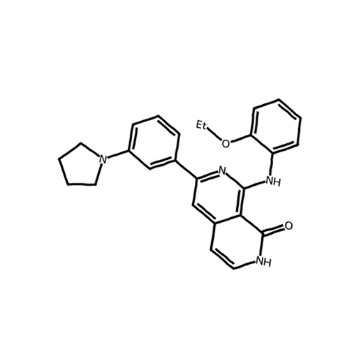 CCOc1ccccc1Nc1nc(-c2cccc(N3CCCC3)c2)cc2cc[nH]c(=O)c12